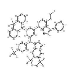 CCCc1ccc(-c2cc(N3c4ccccc4C(C)(C)c4ccccc43)cc(N(c3ccc(C(C)(C)C)cc3)c3csc4cc5c(cc34)C(C)(C)CCC5(C)C)c2)c2csc(-c3ccccc3)c12